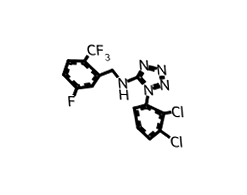 Fc1ccc(C(F)(F)F)c(CNc2nnnn2-c2cccc(Cl)c2Cl)c1